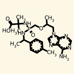 Cc1ccc(C(C)NP(=O)(COC(C)Cn2cnc3c(N)ncnc32)NC(C)(C)C(=O)O)cc1